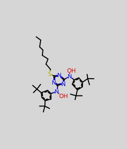 CCCCCCCCSc1nc(N(O)c2cc(C(C)(C)C)cc(C(C)(C)C)c2)nc(N(O)c2cc(C(C)(C)C)cc(C(C)(C)C)c2)n1